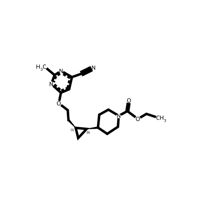 CCOC(=O)N1CCC([C@H]2C[C@H]2CCOc2cc(C#N)nc(C)n2)CC1